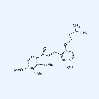 COc1ccc(C(=O)C=Cc2cc(O)ccc2OCCN(C)C)c(OC)c1OC